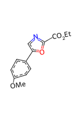 CCOC(=O)c1ncc(-c2ccc(OC)cc2)o1